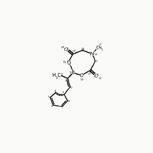 CC(=Cc1ccccc1)B1OC(=O)CN(C)CC(=O)O1